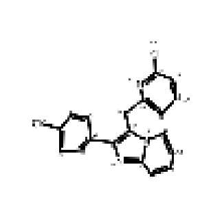 Clc1ccc(-c2nc3ccccn3c2Cc2cncc(Cl)n2)cc1